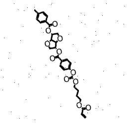 C=CC(=O)OCCCCOC(=O)Oc1ccc(C(=O)O[C@H]2COC3C2OC[C@H]3OC(=O)c2ccc(C)cc2)cc1